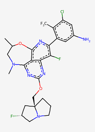 CC1CN(C)c2nc(OC[C@@]34CCCN3C[C@H](F)C4)nc3c(F)c(-c4cc(N)cc(Cl)c4C(F)(F)F)nc(c23)O1